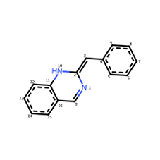 C1=NC(=Cc2ccccc2)Nc2ccccc21